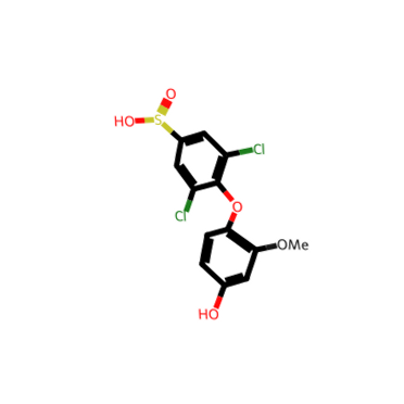 COc1cc(O)ccc1Oc1c(Cl)cc(S(=O)O)cc1Cl